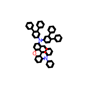 c1ccc(-c2ccc(N(c3ccc(-c4ccccc4)c(-c4ccccc4)c3)c3ccc4c5c(cccc35)-c3c(cccc3N(c3ccccc3)c3ccccc3)O4)cc2-c2ccccc2)cc1